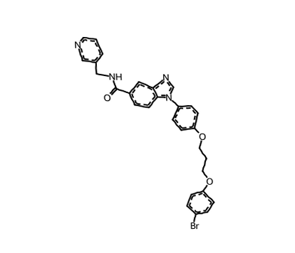 O=C(NCc1cccnc1)c1ccc2c(c1)ncn2-c1ccc(OCCCOc2ccc(Br)cc2)cc1